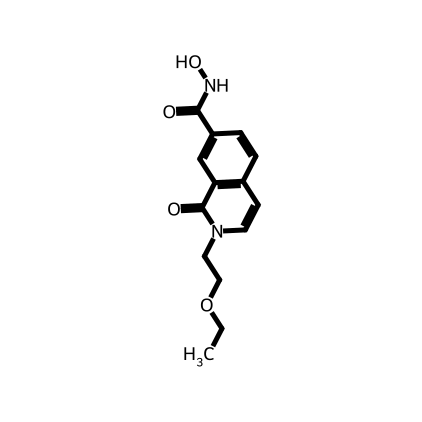 CCOCCn1ccc2ccc(C(=O)NO)cc2c1=O